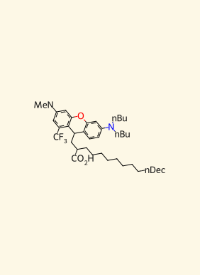 CCCCCCCCCCCCCCCCCCC(CC1c2ccc(N(CCCC)CCCC)cc2Oc2cc(NC)cc(C(F)(F)F)c21)C(=O)O